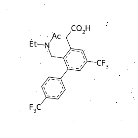 CCN(Cc1c(CC(=O)O)cc(C(F)(F)F)cc1-c1ccc(C(F)(F)F)cc1)C(C)=O